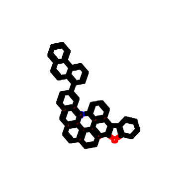 C1=Cc2c(oc3cc(-c4ccccc4N(c4cccc(-c5cccc6c5ccc5ccccc56)c4)c4ccccc4-c4ccccc4-c4ccccc4)ccc23)CC1